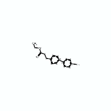 CCOC(=O)CCc1ccc(-c2ccc(I)cc2)cc1